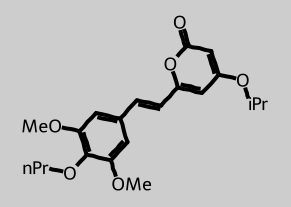 CCCOc1c(OC)cc(/C=C/c2cc(OC(C)C)cc(=O)o2)cc1OC